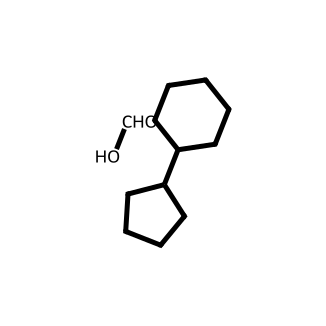 C1CCC(C2CCCC2)CC1.O=CO